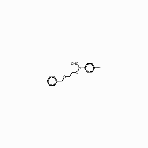 [CH2]c1ccc(N(C=O)OCCOCc2ccccc2)cc1